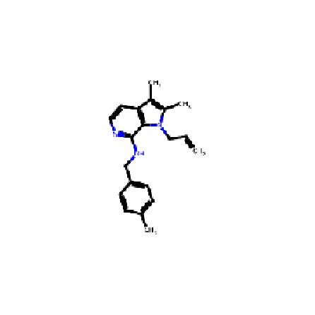 C=CCn1c(C)c(C)c2ccnc(NCc3ccc(C)cc3)c21